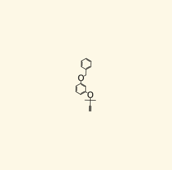 C#CC(C)(C)Oc1cccc(OCc2ccccc2)c1